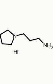 I.NCCCN1CCCC1